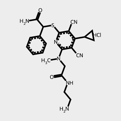 CN(CC(=O)NCCN)c1nc(SC(C(N)=O)c2ccccc2)c(C#N)c(C2CC2)c1C#N.Cl